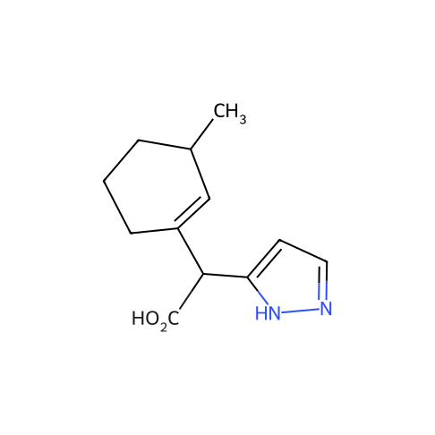 CC1C=C(C(C(=O)O)c2ccn[nH]2)CCC1